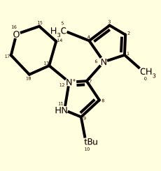 Cc1ccc(C)n1-c1cc(C(C)(C)C)[nH][n+]1C1CCOCC1